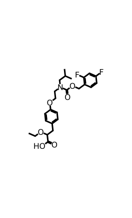 CCOC(Cc1ccc(OCCN(CC(C)C)C(=O)OCc2ccc(F)cc2F)cc1)C(=O)O